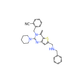 C=C1c2sc(CNCc3ccccc3)cc2N=C(N2CCCCC2)N1Cc1ccccc1C#N